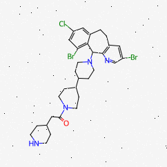 O=C(CC1CCNCC1)N1CCC(C2CCN(C3c4ncc(Br)cc4CCc4cc(Cl)cc(Br)c43)CC2)CC1